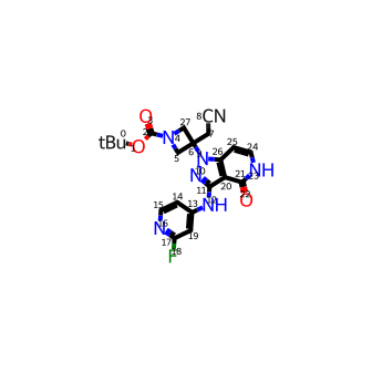 CC(C)(C)OC(=O)N1CC(CC#N)(n2nc(Nc3ccnc(F)c3)c3c(=O)[nH]ccc32)C1